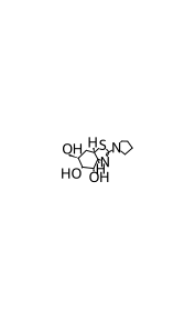 OC[C@H]1C[C@@H]2SC(N3CCCC3)=N[C@@H]2[C@@H](O)[C@@H]1O